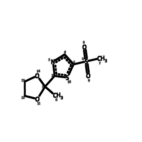 CC1(c2ncc(S(C)(=O)=O)s2)OCCO1